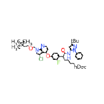 CCCCCCCCCCCCCCC(C(=O)Nc1cc(C(C)(C)C)nn1-c1ccccc1)c1ccc(Oc2ccnc3c2c(Cl)cn3COCC[Si](C)(C)C)cc1F